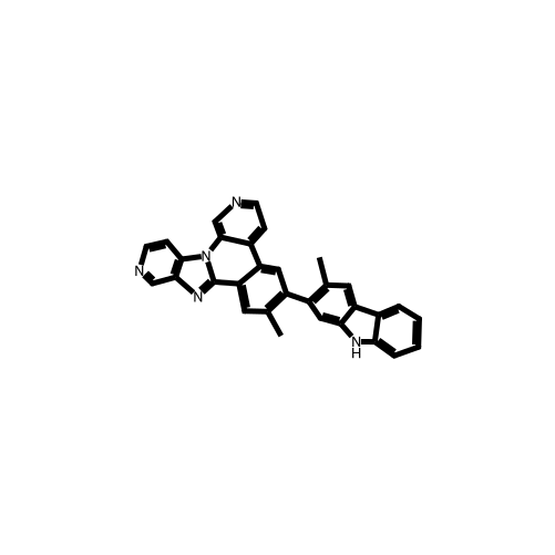 Cc1cc2c(cc1-c1cc3c4ccncc4n4c5ccncc5nc4c3cc1C)[nH]c1ccccc12